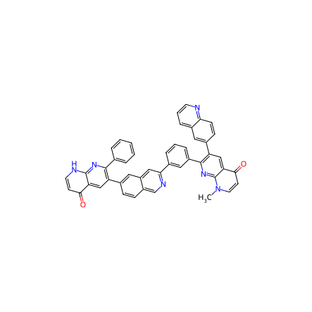 Cn1ccc(=O)c2cc(-c3ccc4ncccc4c3)c(-c3cccc(-c4cc5cc(-c6cc7c(=O)cc[nH]c7nc6-c6ccccc6)ccc5cn4)c3)nc21